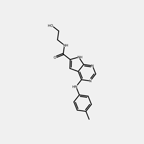 Cc1ccc(Nc2ncnc3[nH]c(C(=O)NCCO)cc23)cc1